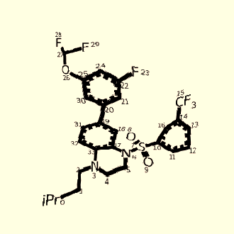 CC(C)CCN1CCN(S(=O)(=O)c2cccc(C(F)(F)F)c2)c2cc(-c3cc(F)cc(OC(F)F)c3)ccc21